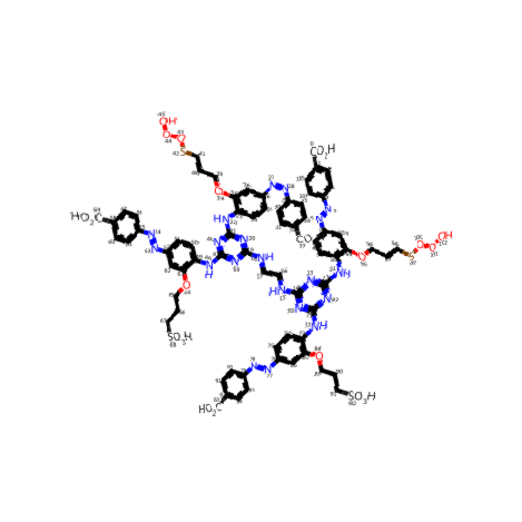 O=C(O)c1ccc(N=Nc2ccc(Nc3nc(NCCNc4nc(Nc5ccc(N=Nc6ccc(C(=O)O)cc6)cc5OCCCSOOO)nc(Nc5ccc(N=Nc6ccc(C(=O)O)cc6)cc5OCCCS(=O)(=O)O)n4)nc(Nc4ccc(N=Nc5ccc(C(=O)O)cc5)cc4OCCCS(=O)(=O)O)n3)c(OCCCSOOO)c2)cc1